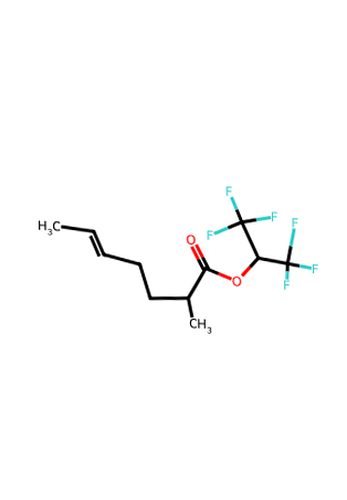 CC=CCCC(C)C(=O)OC(C(F)(F)F)C(F)(F)F